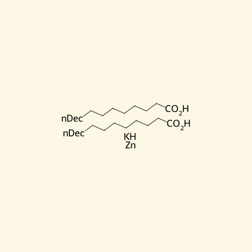 CCCCCCCCCCCCCCCCCC(=O)O.CCCCCCCCCCCCCCCCCC(=O)O.[KH].[Zn]